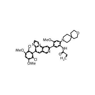 C=CC(=O)Nc1cc(-c2cc3c(cn2)cc(-c2c(Cl)c(OC)cc(OC)c2Cl)c2nccn23)c(OC)cc1N1CCC2(CCOCC2)CC1